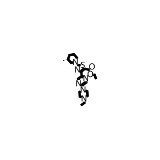 CCOC(=O)c1sc(N2CCC[C@@H](C)C2)nc1-c1cnc(N2CCN(CC)CC2)cn1